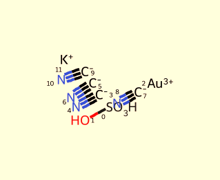 O=S(=O)(O)O.[Au+3].[C-]#N.[C-]#N.[C-]#N.[C-]#N.[K+]